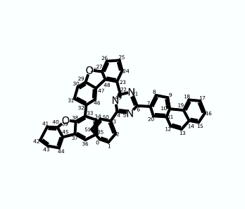 c1ccc(-c2nc(-c3ccc4c(ccc5ccccc54)c3)nc(-c3cccc4oc5ccc(-c6cccc7c6oc6ccccc67)cc5c34)n2)cc1